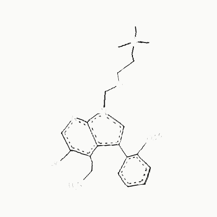 COc1ccccc1-c1cn(COCC[Si](C)(C)C)c2ncc(Br)c(CN)c12